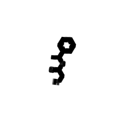 CC(C)CC(=O)OC(C)c1ccccc1